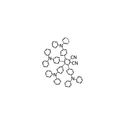 N#Cc1c(C#N)c(-c2ccc(N(c3ccccc3)c3ccccc3)cc2)c(-c2ccc(N(c3ccccc3)c3ccccc3)cc2)c(-c2ccc(N(c3ccccc3)c3ccccc3)cc2)c1-c1ccc(N(C2=CCCC=C2)c2ccccc2)cc1